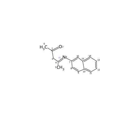 CC(=O)C/C(C)=N/c1ccc2ccccc2c1